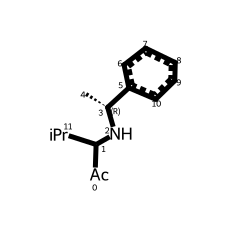 CC(=O)C(N[C@H](C)c1ccccc1)C(C)C